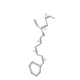 C=C/C(=C\C=C/C)S/C=C/C=C\C=C/c1ccccc1